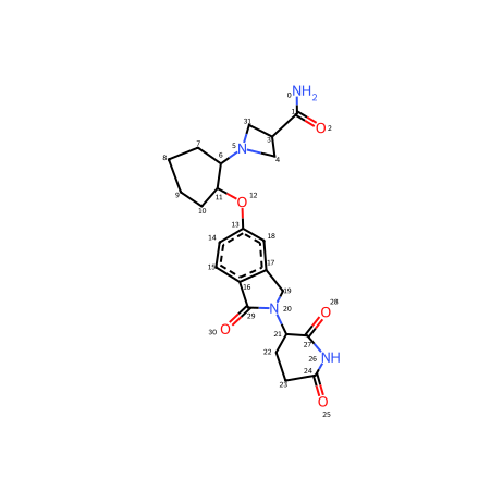 NC(=O)C1CN(C2CCCCC2Oc2ccc3c(c2)CN(C2CCC(=O)NC2=O)C3=O)C1